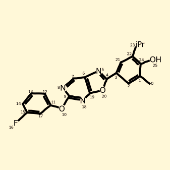 Cc1cc(-c2nc3cnc(Oc4cccc(F)c4)nc3o2)cc(C(C)C)c1O